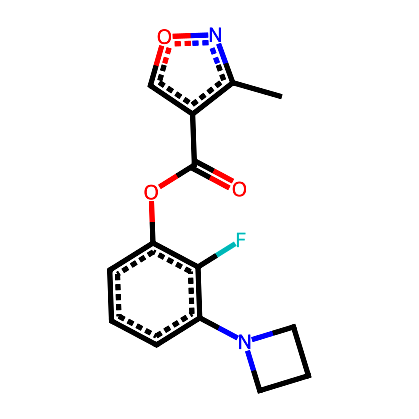 Cc1nocc1C(=O)Oc1cccc(N2CCC2)c1F